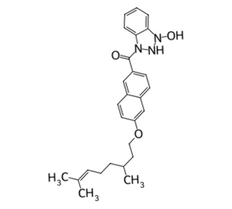 CC(C)=CCCC(C)CCOc1ccc2cc(C(=O)N3NN(O)c4ccccc43)ccc2c1